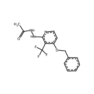 CC(=O)NNc1nccc(OCc2ccccc2)c1C(F)(F)F